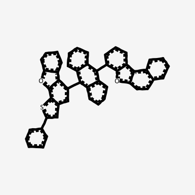 c1ccc(-c2cc3cc(-c4c5ccccc5c(-c5cccc6c5oc5ccc7ccccc7c56)c5ccccc45)c4c5ccccc5oc4c3s2)cc1